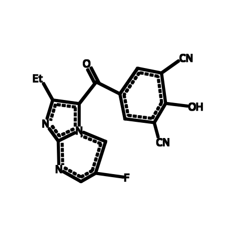 CCc1nc2ncc(F)cn2c1C(=O)c1cc(C#N)c(O)c(C#N)c1